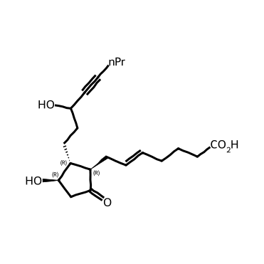 CCCC#CC(O)CC[C@H]1[C@H](O)CC(=O)[C@@H]1CC=CCCCC(=O)O